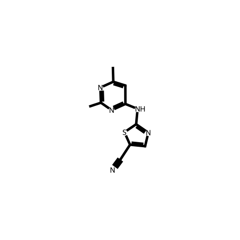 Cc1cc(Nc2ncc(C#N)s2)nc(C)n1